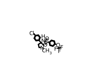 CN1CC[C@@](NS(=O)(=O)c2ccc(OC(F)(F)F)cc2)(c2ccc(Cl)cc2)C1